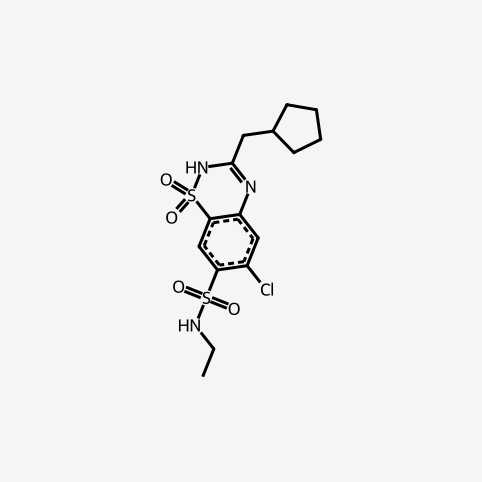 CCNS(=O)(=O)c1cc2c(cc1Cl)N=C(CC1CCCC1)NS2(=O)=O